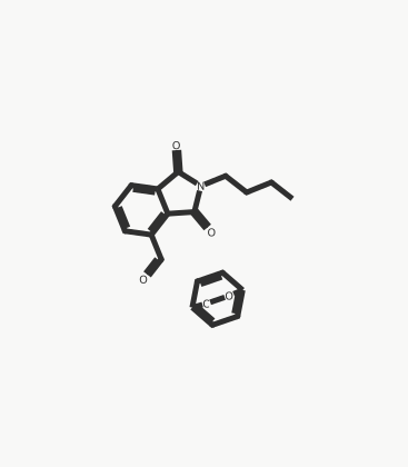 CCCCN1C(=O)c2cccc(C=O)c2C1=O.c1cc2ccc1CO2